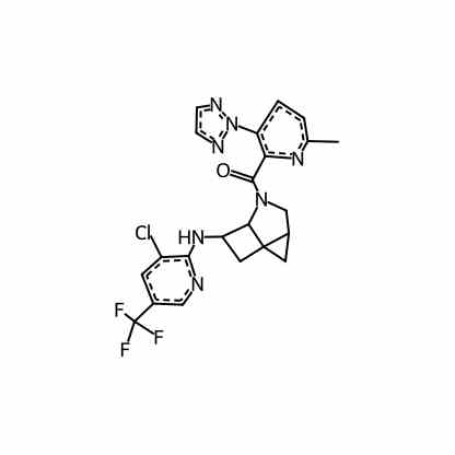 Cc1ccc(-n2nccn2)c(C(=O)N2CC3CC34CC(Nc3ncc(C(F)(F)F)cc3Cl)C24)n1